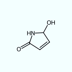 O=C1C=CC(O)N1